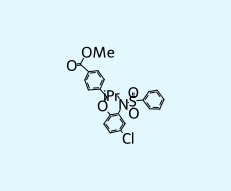 COC(=O)c1ccc(COc2ccc(Cl)cc2N(C(C)C)S(=O)(=O)c2ccccc2)cc1